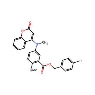 CCc1ccc(COC(=O)c2cc(N(C)c3cc(=O)oc4ccccc34)ccc2OC)cc1